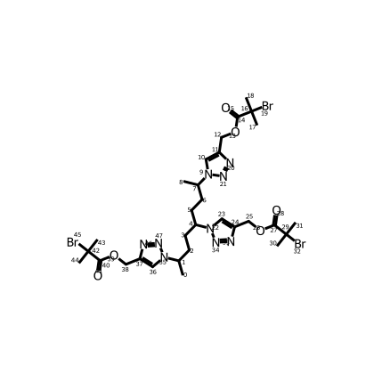 CC(CCC(CCC(C)n1cc(COC(=O)C(C)(C)Br)nn1)n1cc(COC(=O)C(C)(C)Br)nn1)n1cc(COC(=O)C(C)(C)Br)nn1